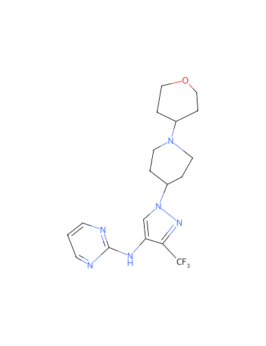 FC(F)(F)c1nn(C2CCN(C3CCOCC3)CC2)cc1Nc1ncccn1